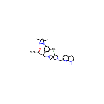 COC(=O)C[C@H](CN1CC2(CN(Cc3ccc4c(n3)NCCC4)CC2F)C1)c1cc(-n2nc(C)cc2C)cc(C(C)(C)C)c1